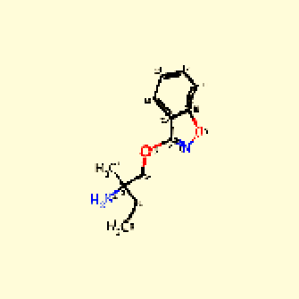 CCC(C)(N)COc1noc2ccccc12